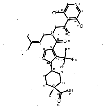 CC(C)=CCN(CC(=O)c1c(Cl)cncc1Cl)C(=O)c1cnn([C@H]2CC[C@](C)(C(=O)O)CC2)c1C(F)(F)F